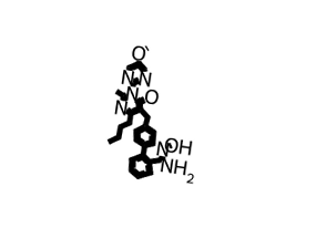 CCCCc1nc(C)n(-c2ncc(OC)cn2)c(=O)c1Cc1ccc(-c2ccccc2C(N)=NO)cc1